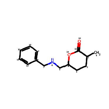 CC1CCC(CNCc2ccccc2)OC1=O